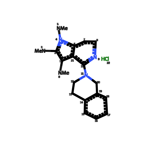 CNc1c(NC)n(NC)c2ccnc(N3CCc4ccccc4C3)c12.Cl